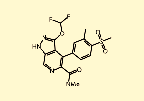 CNC(=O)c1ncc2[nH]nc(OC(F)F)c2c1-c1ccc(S(C)(=O)=O)c(C)c1